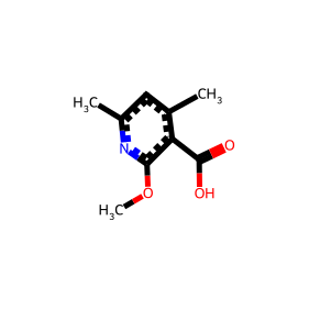 COc1nc(C)cc(C)c1C(=O)O